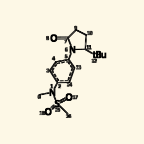 CN(c1ccc(N2C(=O)CCC2C(C)(C)C)cc1)S(C)(=O)=O